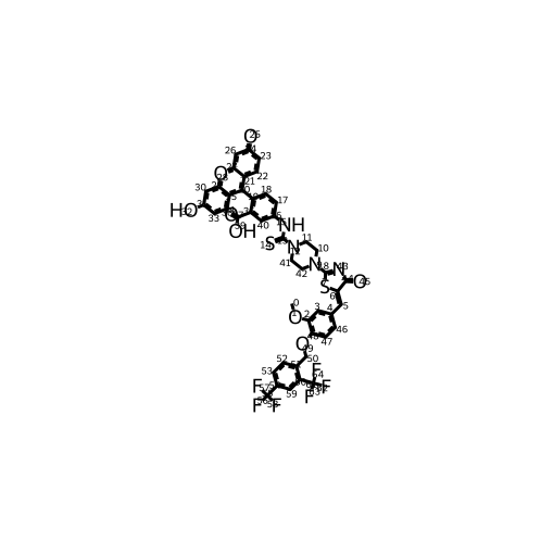 COc1cc(C=C2SC(N3CCN(C(=S)Nc4ccc(-c5c6ccc(=O)cc-6oc6cc(O)ccc56)c(C(=O)O)c4)CC3)=NC2=O)ccc1OCc1ccc(C(F)(F)F)cc1C(F)(F)F